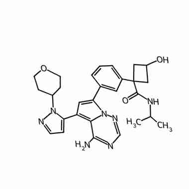 CC(C)NC(=O)C1(c2cccc(-c3cc(-c4ccnn4C4CCOCC4)c4c(N)ncnn34)c2)CC(O)C1